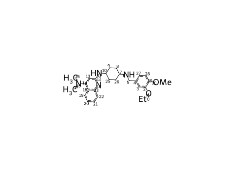 CCOc1cc(CNC2CCC(Nc3cc(N(C)C)c4ccccc4n3)CC2)ccc1OC